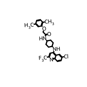 Cc1ccc(C)c(OCC(=O)NC2CCC(Nc3cc(C(F)(F)F)nc4ccc(Cl)cc34)CC2)c1